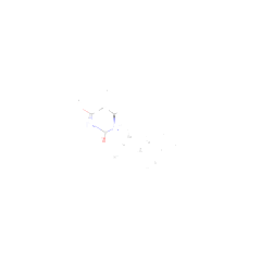 CC(=O)OC[C@H]1O[C@@H](n2cc(I)c(=O)[nH]c2=O)C(F)C1OC(C)=O